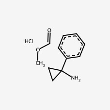 COC=O.Cl.NC1(c2ccccc2)CC1